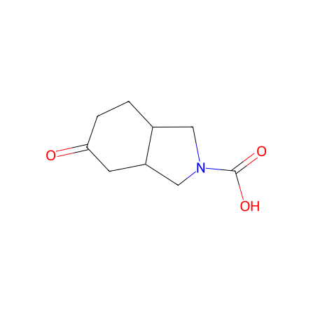 O=C1CCC2CN(C(=O)O)CC2C1